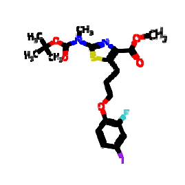 COC(=O)c1nc(N(C)C(=O)OC(C)(C)C)sc1CCCOc1ccc(I)cc1F